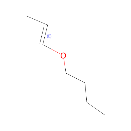 C/C=C/OCCCC